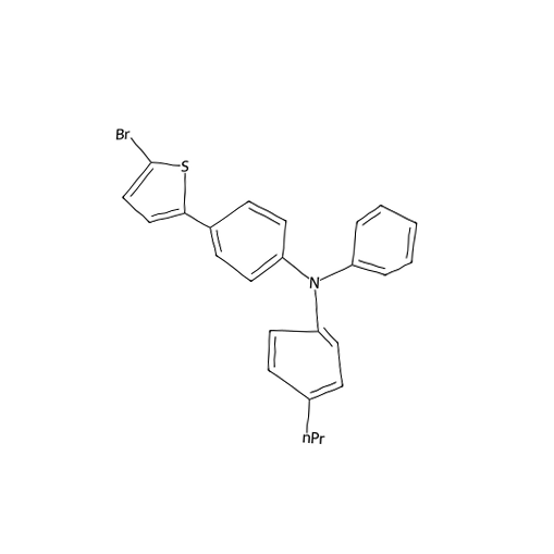 CCCc1ccc(N(c2ccccc2)c2ccc(-c3ccc(Br)s3)cc2)cc1